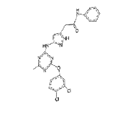 Cc1nc(Nc2cc(CC(=O)Nc3ccccc3)[nH]n2)nc(Oc2ccc(Cl)c(Cl)c2)n1